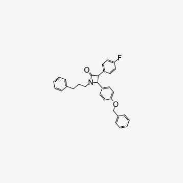 O=C1C(c2ccc(F)cc2)C(c2ccc(OCc3ccccc3)cc2)N1CCCc1ccccc1